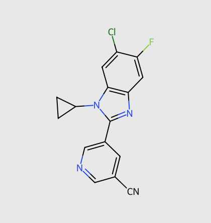 N#Cc1cncc(-c2nc3cc(F)c(Cl)cc3n2C2CC2)c1